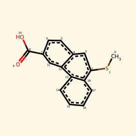 CSc1cc2ccc(C(=O)O)cc2c2ccccc12